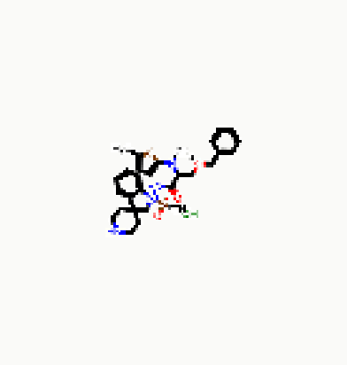 Cc1ccc(N(C)C(COCc2ccccc2)C(=O)N[N+]2(S(C)(=O)=O)CC3(CCNCC3)c3ccccc32)s1.Cl